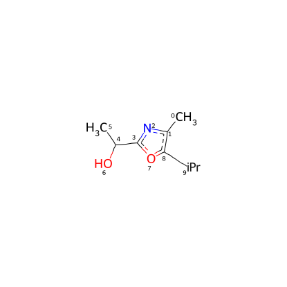 Cc1nc(C(C)O)oc1C(C)C